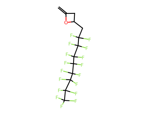 C=C1CC(CC(F)(F)C(F)(F)C(F)(F)C(F)(F)C(F)(F)C(F)(F)C(F)(F)C(F)(F)F)O1